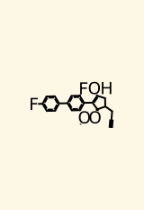 C#CCC1CC(O)=C(c2c(F)cc(-c3ccc(F)cc3)cc2OC)C1=O